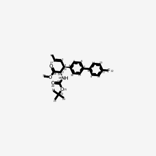 CC=C[C@@H](c1ccc(-c2ccc(F)cc2)cc1)[C@H](NC(=O)OC(C)(C)C)C(=O)OC